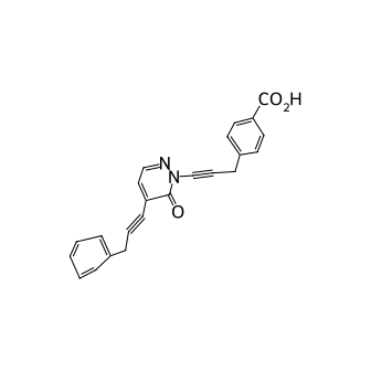 O=C(O)c1ccc(CC#Cn2nccc(C#CCc3ccccc3)c2=O)cc1